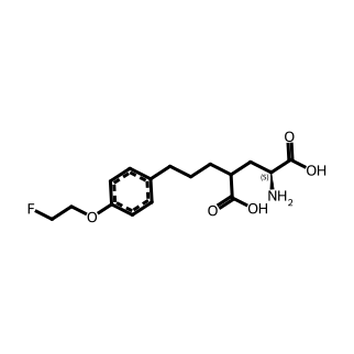 N[C@@H](CC(CCCc1ccc(OCCF)cc1)C(=O)O)C(=O)O